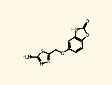 Nc1nnc(COc2ccc3oc(=O)[nH]c3c2)s1